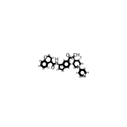 CN(C(=O)c1ccc2c(c1)[C@H](NC(=O)C1CCOc3ccccc31)CC2)C1CCN(c2ccncc2)CC1